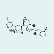 COc1cccc2[nH]c(C(=O)NC(CC3CC3)C(=O)NC(C#N)CC3c4cc(Cl)ccc4NC3O)cc12